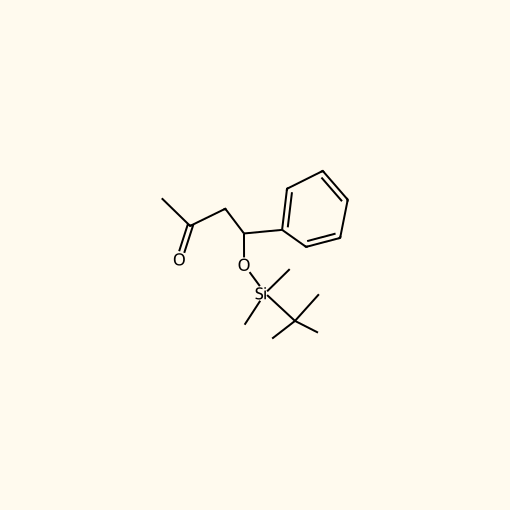 CC(=O)CC(O[Si](C)(C)C(C)(C)C)c1ccccc1